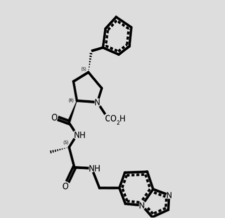 C[C@H](NC(=O)[C@H]1C[C@H](Cc2ccccc2)CN1C(=O)O)C(=O)NCc1ccc2nccn2c1